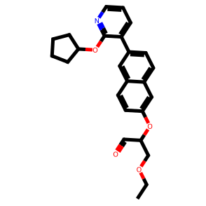 CCOCC(C=O)Oc1ccc2cc(-c3cccnc3OC3CCCC3)ccc2c1